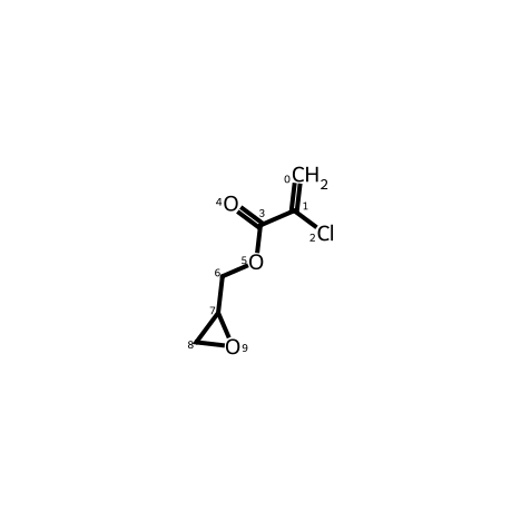 C=C(Cl)C(=O)OCC1CO1